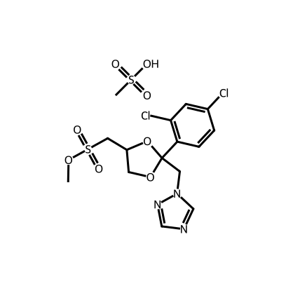 COS(=O)(=O)CC1COC(Cn2cncn2)(c2ccc(Cl)cc2Cl)O1.CS(=O)(=O)O